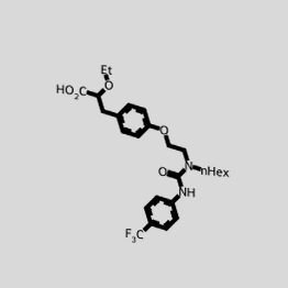 CCCCCCN(CCOc1ccc(CC(OCC)C(=O)O)cc1)C(=O)Nc1ccc(C(F)(F)F)cc1